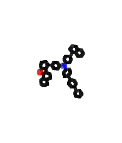 c1ccc(-c2ccc(-c3ccc(N(c4ccc(-c5cccc6ccccc56)cc4)c4ccc(-c5cccc6oc7c8ccccc8ccc7c56)cc4)cc3)cc2)cc1